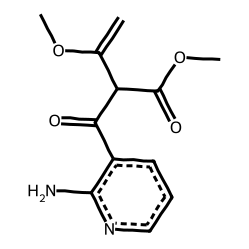 C=C(OC)C(C(=O)OC)C(=O)c1cccnc1N